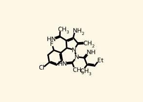 C=C1C(N)=C(C(C)=N)C(C2=CC=C(Cl)CC2F)N1N(C(C)=N)C(=N)/C(C)=C\CC